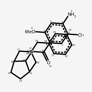 COc1cc(N)c(Cl)cc1C(=O)NC1C2CCC1CN(Cc1ccccc1)C2